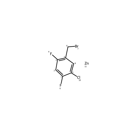 Fc1cc(F)c(CBr)cc1Cl.[Zn]